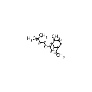 CC1=CCC2CC1C(OCCC(C)C)CC2C